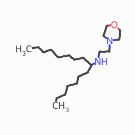 CCCCCCCCC(CCCCCCC)NCCN1CCOCC1